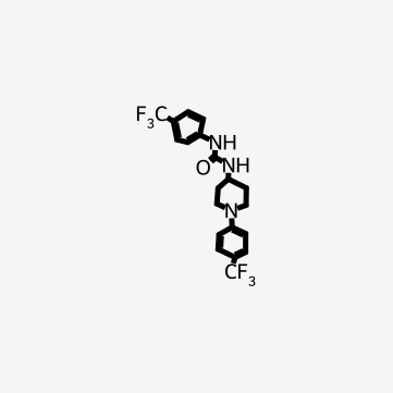 O=C(Nc1ccc(C(F)(F)F)cc1)NC1CCN(c2ccc(C(F)(F)F)cc2)CC1